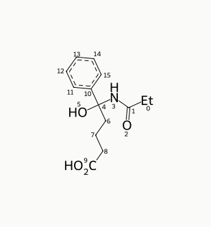 CCC(=O)NC(O)(CCCC(=O)O)c1ccccc1